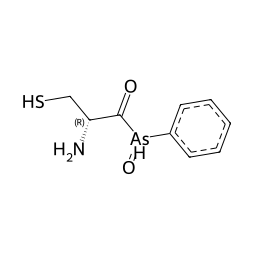 N[C@H](CS)C(=O)[AsH](=O)c1ccccc1